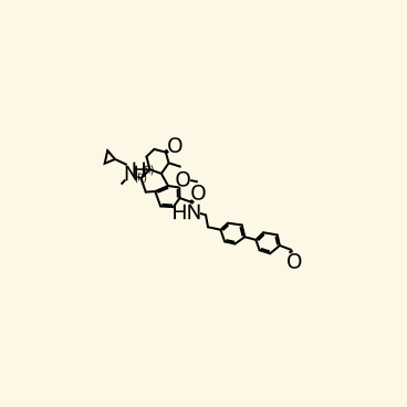 COc1c(C(=O)NCCc2ccc(-c3ccc(C=O)cc3)cc2)ccc2c1C1C(C)C(=O)CC[C@H]1[C@H](N(C)CC1CC1)C2